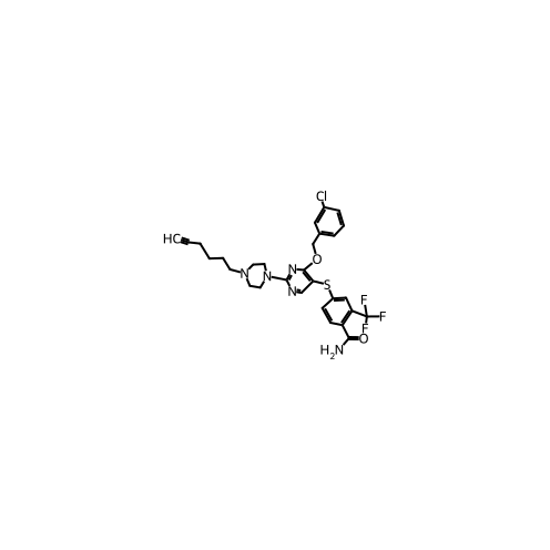 C#CCCCCN1CCN(c2ncc(Sc3ccc(C(N)=O)c(C(F)(F)F)c3)c(OCc3cccc(Cl)c3)n2)CC1